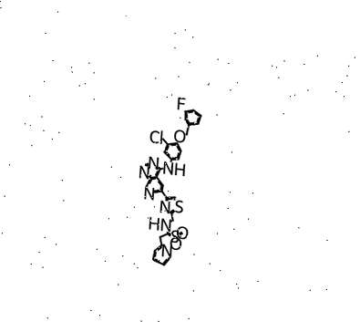 O=S(=O)=C(Cc1ccccn1)NCc1nc(-c2cc3c(Nc4ccc(OCc5cccc(F)c5)c(Cl)c4)ncnc3cn2)cs1